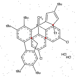 Cl.Cl.[CH2]=[Zr]([C]1=CC(C(C)(C)C)=CC1CC)([c]1ccc(Cl)cc1)([c]1ccc(Cl)cc1)[c]1c2c(cc(C(C)(C)C)c1C(C)(C)C)-c1cc(C(C)(C)C)c(C(C)(C)C)cc1C2